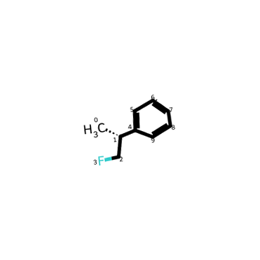 C[C@@H](CF)c1c[c]ccc1